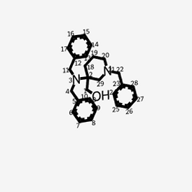 OCC1(N(Cc2ccccc2)Cc2ccccc2)CCCN(Cc2ccccc2)C1